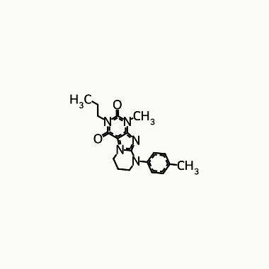 CCCn1c(=O)c2c(nc3n2CCCN3c2ccc(C)cc2)n(C)c1=O